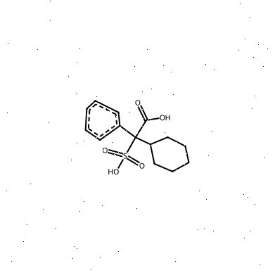 O=C(O)C(c1ccccc1)(C1CCCCC1)S(=O)(=O)O